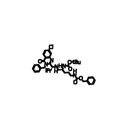 CC(C)[C@@H](NC[C@H](CCCNC(=O)OCc1ccccc1)NC(=O)OC(C)(C)C)c1nc2cc(Cl)ccc2c(=O)n1Cc1ccccc1